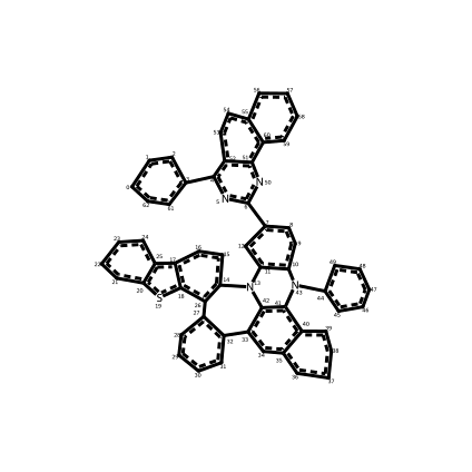 c1ccc(-c2nc(-c3ccc4c(c3)N3c5ccc6c(sc7ccccc76)c5-c5ccccc5-c5cc6ccccc6c(c53)N4c3ccccc3)nc3c2ccc2ccccc23)cc1